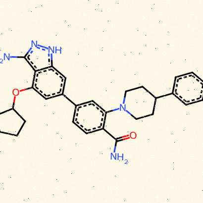 NC(=O)c1ccc(-c2cc(OC3CCCC3)c3c(N)n[nH]c3c2)cc1N1CCC(c2ccccc2)CC1